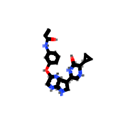 C=CC(=O)Nc1cccc(Oc2cnc3[nH]cc(-c4cnc(C5CC5)c(=O)[nH]4)c3n2)c1